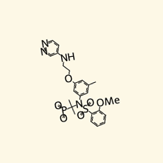 COc1ccccc1S(=O)(=O)N(c1cc(C)cc(OCCNc2ccnnc2)c1)C(C)(C)P(=O)=O